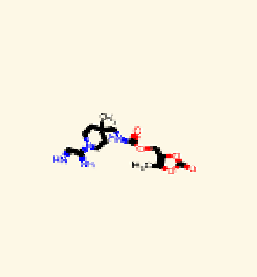 Cc1oc(=O)oc1COC(=O)NCC1(C)CCN(C(=N)C=N)CC1